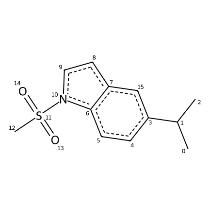 CC(C)c1ccc2c(ccn2S(C)(=O)=O)c1